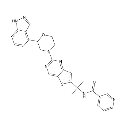 CC(C)(NC(=O)c1cccnc1)c1cc2nc(N3CCOC(c4cccc5[nH]ncc45)C3)ncc2s1